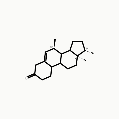 C[C@@H]1C=C2CC(=O)CCC2C2CC[C@@]3(C)C(CC[C@@H]3C)C21